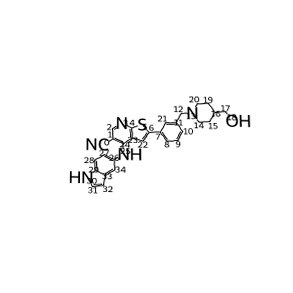 N#Cc1cnc2sc(-c3cccc(CN4CCC(CO)CC4)c3)cc2c1Nc1ccc2[nH]ccc2c1